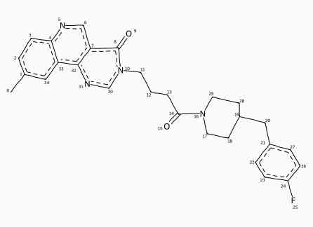 Cc1ccc2ncc3c(=O)n(CCCC(=O)N4CCC(Cc5ccc(F)cc5)CC4)cnc3c2c1